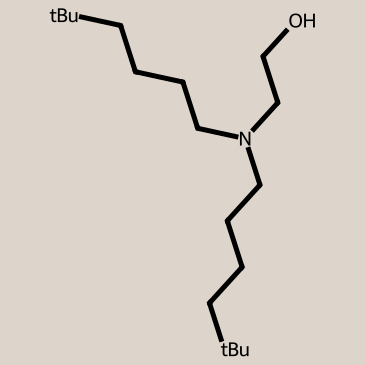 CC(C)(C)CCCCN(CCO)CCCCC(C)(C)C